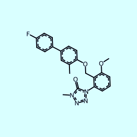 COc1cccc(-n2nnn(C)c2=O)c1COc1ccc(-c2ccc(F)cc2)cc1C